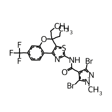 CCC1(CC)Oc2cc(C(F)(F)F)ccc2-c2nc(NC(=O)c3c(Br)nn(C)c3Br)sc21